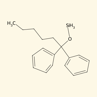 CCCCCC(O[SiH3])(c1ccccc1)c1ccccc1